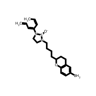 Bc1ccc2c(c1)CCC(CCCCN1CCN(C(/C=C\C)=C/C=C)[S+]1[O-])O2